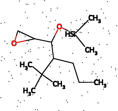 CCCC(C(O[SiH](C)C)C1CO1)C(C)(C)C